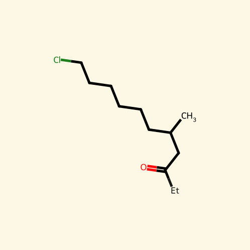 CCC(=O)CC(C)CCCCCCCl